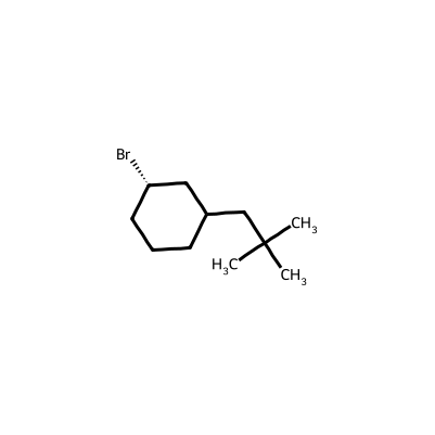 CC(C)(C)CC1CCC[C@H](Br)C1